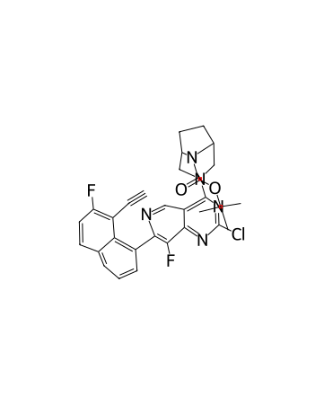 C#Cc1c(F)ccc2cccc(-c3ncc4c(N5CC6CCC(C5)N6C(=O)OC(C)(C)C)nc(Cl)nc4c3F)c12